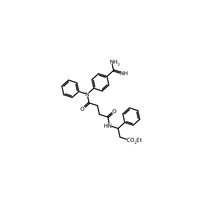 CCOC(=O)CC(NC(=O)CCC(=O)N(c1ccccc1)c1ccc(C(=N)N)cc1)c1ccccc1